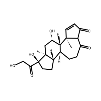 C[C@]12C=CC(=O)C1C(=O)CC[C@@H]1[C@@H]2[C@@H](O)C[C@@]2(C)[C@H]1CC[C@]2(O)C(=O)CO